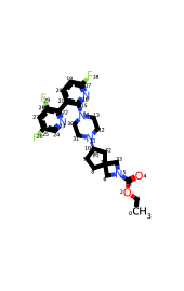 CCOC(=O)N1CC2(CC[C@@H](N3CCN(c4nc(F)ccc4-c4ncc(F)cc4F)CC3)C2)C1